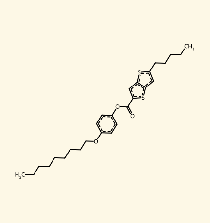 CCCCCCCCCOc1ccc(OC(=O)c2cc3sc(CCCCC)cc3s2)cc1